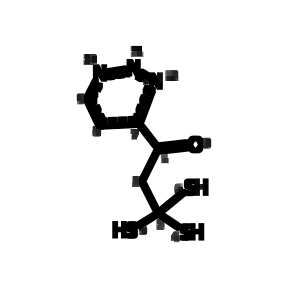 O=C(CC(S)(S)S)c1ccnnn1